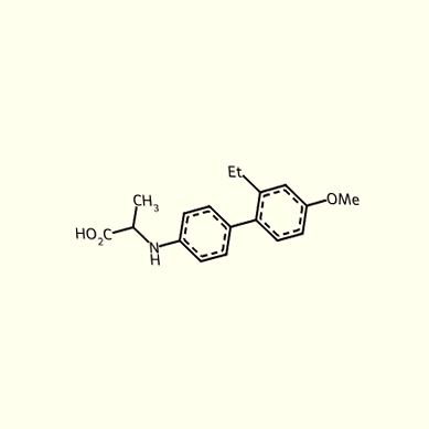 CCc1cc(OC)ccc1-c1ccc(NC(C)C(=O)O)cc1